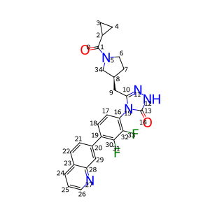 O=C(C1CC1)N1CC[C@@H](Cc2n[nH]c(=O)n2-c2ccc(-c3ccc4cccnc4c3)c(F)c2F)C1